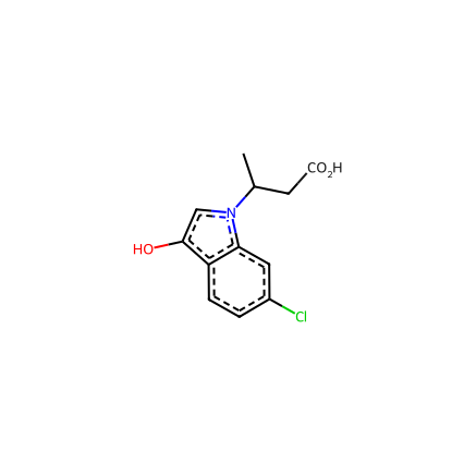 CC(CC(=O)O)n1cc(O)c2ccc(Cl)cc21